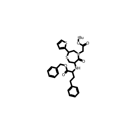 CC(C)(C)OC(=O)CN1CC(c2cccs2)SCC(NC(CCc2ccccc2)C(=O)OCc2ccccc2)C1=O